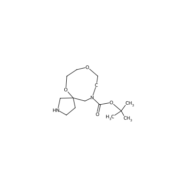 CC(C)(C)OC(=O)N1CCOCCOC2(CCNC2)C1